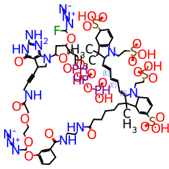 CC1(C)C2=C(C=CC(S(=O)(=O)O)C2)N(CCS(=O)(=O)O)C1/C=C/C=C/C=C1\N(CCS(=O)(=O)O)C2C=CC(S(=O)(=O)O)=CC2C1(C)CCCCCC(=O)NCCNC(=O)C1=CC(OC(N=[N+]=[N-])OCCOCC(=O)NCC#CC2CN(C3CC(OC(F)N=[N+]=[N-])[C@@H](CO[PH](=O)O[PH](=O)O[PH](=O)O)O3)c3nc(N)[nH]c(=O)c32)=CCC1